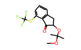 COC(C)(C)OC1Cc2cccc(SC(F)(F)F)c2C1=O